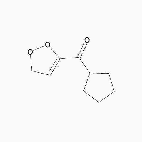 O=C(C1=CCOO1)C1CCCC1